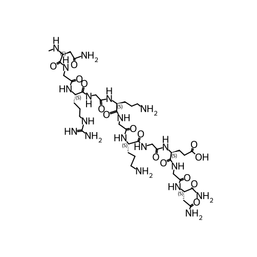 CN[C@@H](CC(N)=O)C(=O)NCC(=O)N[C@@H](CCCNC(=N)N)C(=O)NCC(=O)N[C@@H](CCCN)C(=O)NCC(=O)N[C@@H](CCCN)C(=O)NCC(=O)N[C@@H](CCC(=O)O)C(=O)NCC(=O)N[C@@H](CC(N)=O)C(N)=O